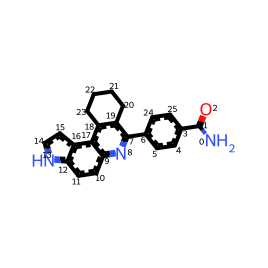 NC(=O)c1ccc(-c2nc3ccc4[nH]ccc4c3c3c2CCCC3)cc1